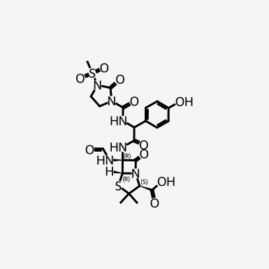 CC1(C)S[C@H]2N(C(=O)[C@@]2(NC=O)NC(=O)C(NC(=O)N2CCN(S(C)(=O)=O)C2=O)c2ccc(O)cc2)[C@H]1C(=O)O